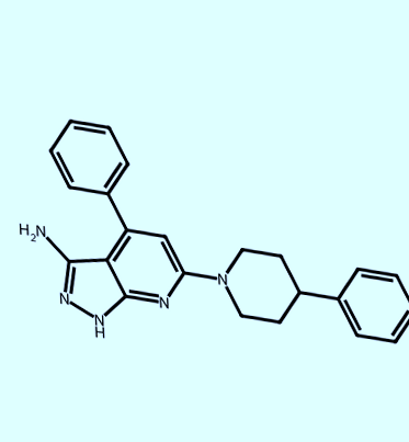 Nc1n[nH]c2nc(N3CCC(c4ccccc4)CC3)cc(-c3ccccc3)c12